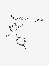 C#CCSc1nc2c(-c3ccc(F)cc3)c(CC)nn2c(=O)[nH]1